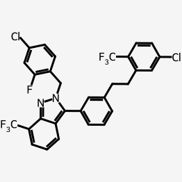 Fc1cc(Cl)ccc1Cn1nc2c(C(F)(F)F)cccc2c1-c1cccc(CCc2cc(Cl)ccc2C(F)(F)F)c1